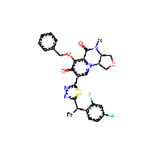 CCC(c1nnc(-c2cn3c(c(OCc4ccccc4)c2=O)C(=O)N(CC)C2COCC23)s1)c1ccc(F)cc1F